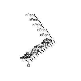 CCCCCC.CCCCCC.CCCCCC.CCCCCC.CCCCCC.CCCCCC.CCCCCC.CCCCCC.CCCCCC.CCCCCC.CCCCCC.CCCCCC.CCCCCC.CCCCCC.CCCCCC.CCCCCC.CCCCCC.CCCCCC.ClCCl